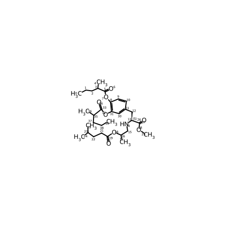 CCCC(C)C(=O)Oc1ccc(C[C@H](NCC(C)OC(=O)CCC(C)C)C(=O)OC)cc1OC(=O)C(C)CCC